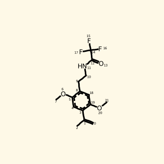 C=C(C)c1cc(OC)c(CCNC(=O)C(F)(F)F)cc1OC